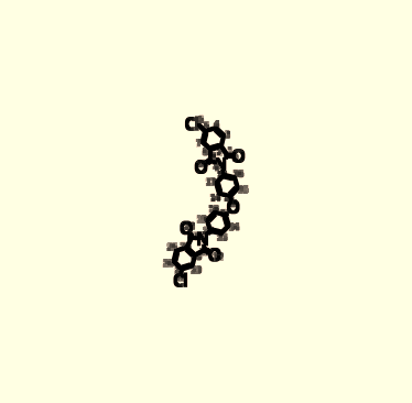 O=C1c2ccc(Cl)cc2C(=O)N1c1ccc(Oc2ccc(N3C(=O)c4ccc(Cl)cc4C3=O)cc2)cc1